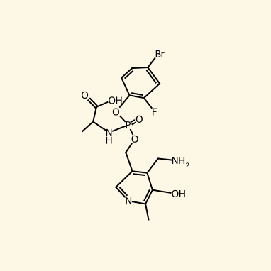 Cc1ncc(COP(=O)(NC(C)C(=O)O)Oc2ccc(Br)cc2F)c(CN)c1O